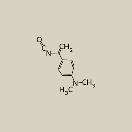 C=C(N=C=O)c1ccc(N(C)C)cc1